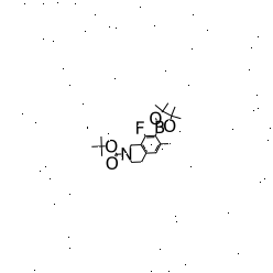 Cc1cc2c(c(F)c1B1OC(C)(C)C(C)(C)O1)CN(C(=O)OC(C)(C)C)CC2